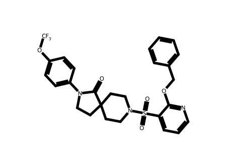 O=C1N(c2ccc(OC(F)(F)F)cc2)CCC12CCN(S(=O)(=O)c1cccnc1OCc1ccccc1)CC2